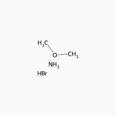 Br.COC.N